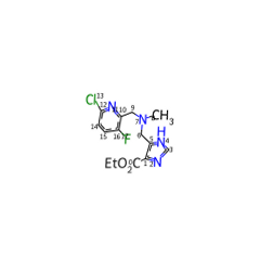 CCOC(=O)c1nc[nH]c1CN(C)Cc1nc(Cl)ccc1F